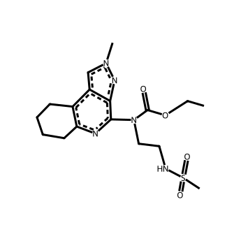 CCOC(=O)N(CCNS(C)(=O)=O)c1nc2c(c3cn(C)nc13)CCCC2